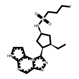 CC[C@@H]1C[C@H](NS(=O)(=O)CCCF)C[C@@H]1c1nnc2cnc3[nH]ccc3n12